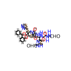 O=CNNC(=O)C(=O)NC(C(=O)NC1C(=O)N2CC(CSc3nncs3)(C(=O)OC(c3ccccc3)c3ccccc3)CS[C@H]12)c1csc(NC=O)n1